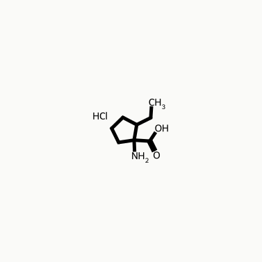 CCC1CCCC1(N)C(=O)O.Cl